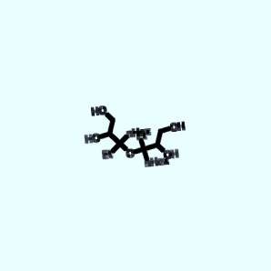 CCCCCCC(CC)(OC(CC)(CCCCCC)C(O)CO)C(O)CO